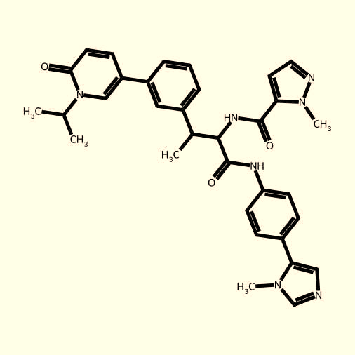 CC(c1cccc(-c2ccc(=O)n(C(C)C)c2)c1)C(NC(=O)c1ccnn1C)C(=O)Nc1ccc(-c2cncn2C)cc1